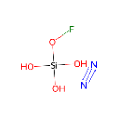 N#N.O[Si](O)(O)OF